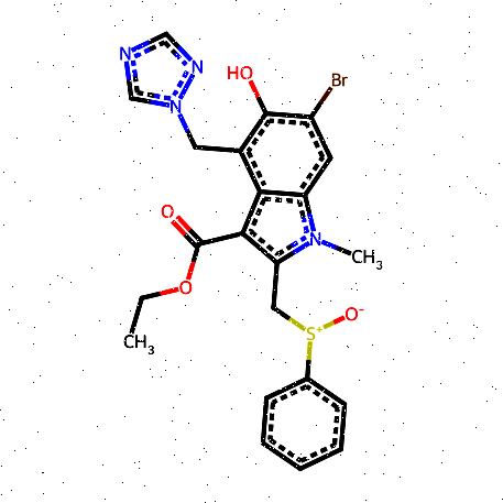 CCOC(=O)c1c(C[S+]([O-])c2ccccc2)n(C)c2cc(Br)c(O)c(Cn3cncn3)c12